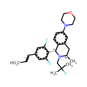 C[C@@H]1Cc2cc(N3CCOCC3)ccc2[C@@H](c2c(F)cc(/C=C/C(=O)O)cc2F)N1CC(C)(C)F